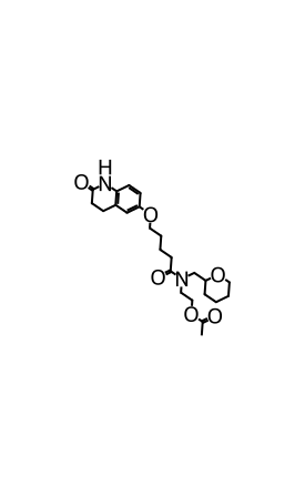 CC(=O)OCCN(CC1CCCCO1)C(=O)CCCCOc1ccc2c(c1)CCC(=O)N2